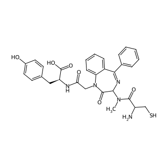 CN(C(=O)C(N)CS)C1N=C(c2ccccc2)c2ccccc2N(CC(=O)N[C@@H](Cc2ccc(O)cc2)C(=O)O)C1=O